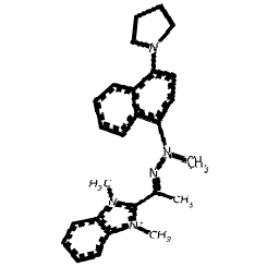 C/C(=N\N(C)c1ccc(N2CCCC2)c2ccccc12)c1n(C)c2ccccc2[n+]1C